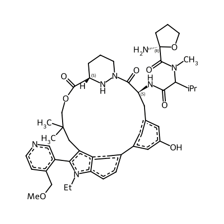 CCn1c(-c2cnccc2COC)c2c3cc(ccc31)-c1cc(O)cc(c1)C[C@H](NC(=O)C(C(C)C)N(C)C(=O)[C@@]1(N)CCCO1)C(=O)N1CCC[C@H](N1)C(=O)OCC(C)(C)C2